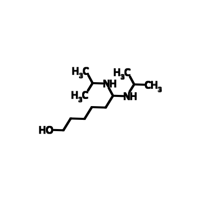 CC(C)NC(CCCCCO)NC(C)C